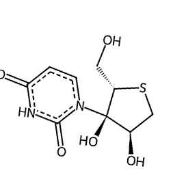 O=c1ccn([C@@]2(O)[C@H](O)CS[C@H]2CO)c(=O)[nH]1